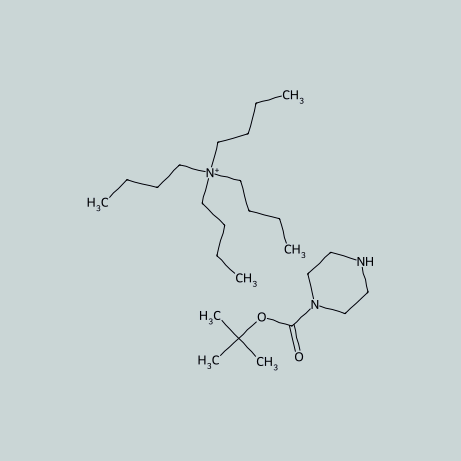 CC(C)(C)OC(=O)N1CCNCC1.CCCC[N+](CCCC)(CCCC)CCCC